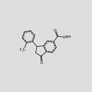 COC(=O)c1ccc2c(c1)C(c1ccccc1C(F)(F)F)CC2=O